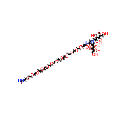 O=C(CCOCCOCCOCCOCCOCCOCCOCCOCCOCCOCCOCCOCCNI)NCCN(C[C@H](O)[C@@H](O)[C@H](O)[C@H](O)CO)C[C@H](O)[C@@H](O)[C@H](O)[C@H](O)CO